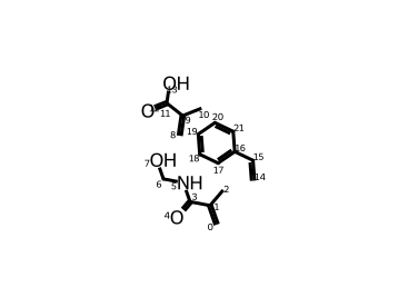 C=C(C)C(=O)NCO.C=C(C)C(=O)O.C=Cc1ccccc1